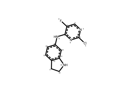 Fc1cnc(Cl)nc1Nc1ccc2c(c1)NCC2